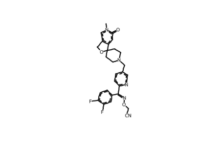 Cn1cc2c(cc1=O)C1(CCN(Cc3ccc(/C(=N/OCC#N)c4ccc(F)c(F)c4)nc3)CC1)OC2